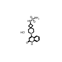 Cl.NS(=O)(=O)NC1CC2(CCN(c3cc(=O)[nH]c4ccccc34)CC2)C1